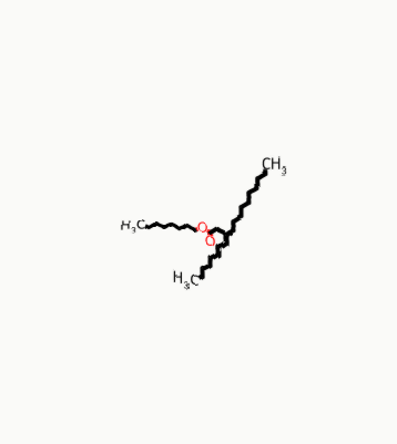 CCCCCCCCCCC(CCCCCCCC)CC(=O)OCCCCCCCC